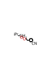 CC(C)C[SiH2]OCOCCc1cccc(C#N)c1